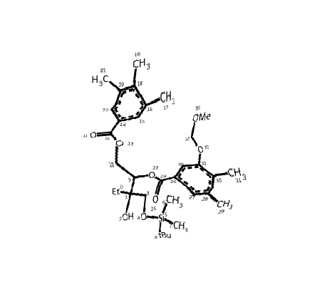 CCC(O)(CO[Si](C)(C)C(C)(C)C)C(COC(=O)c1cc(C)c(C)c(C)c1)OC(=O)c1cc(C)c(C)c(OCOC)c1